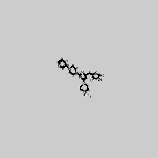 CN1CCN(c2cc(C=C3SC(=O)NC3=O)nc(N3CCN(c4cccnc4)CC3)n2)CC1